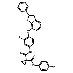 O=C(Nc1ccc(F)cc1)C1(C(=O)Nc2ccc(Oc3ccnc4cc(-c5ccccc5)sc34)c(F)c2)CC1